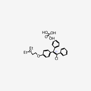 CCN(CC)CCOc1ccc(/C(=C(\Cl)c2ccccc2)c2ccccc2)cc1.O=P(O)(O)O